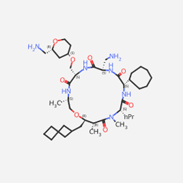 CCC[C@H]1C(=O)N[C@@H](C2CCCCCC2)C(=O)N[C@@H](CN)C(=O)N[C@@H](CO[C@H]2CCO[C@@H](CN)C2)C(=O)N[C@@H](C)CO[C@H](CC2CC3(CCC3)C2)[C@@H](C)C(=O)N1C